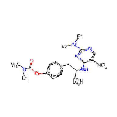 CCN(CC)c1ncc([N+](=O)[O-])c(NC(Cc2ccc(OC(=O)N(C)C)cc2)C(=O)O)n1